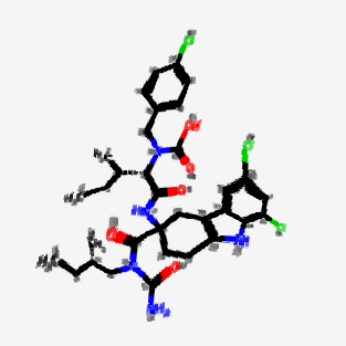 CCC(C)[C@@H](C(=O)N[C@]1(C(=O)N(C[C@@H](C)CC)C(N)=O)CCc2[nH]c3c(Cl)cc(Cl)cc3c2C1)N(Cc1ccc(Cl)cc1)C(=O)O